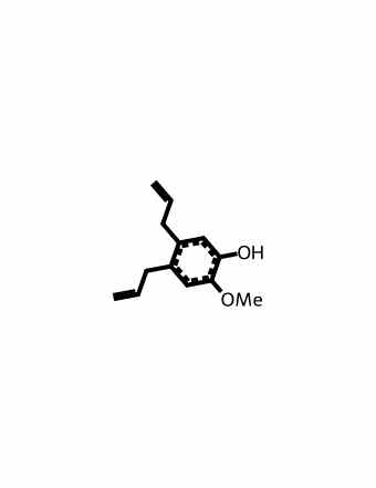 C=CCc1cc(O)c(OC)cc1CC=C